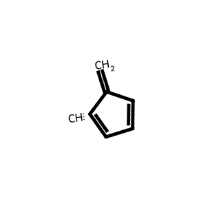 C=C1C=CC=C1.[CH]